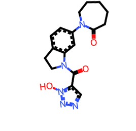 O=C1CCCCCN1c1ccc2c(c1)N(C(=O)c1cnnn1O)CC2